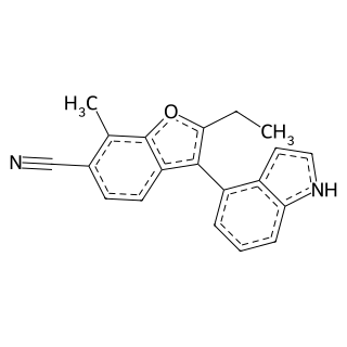 CCc1oc2c(C)c(C#N)ccc2c1-c1cccc2[nH]ccc12